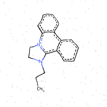 CCCN1CC[n+]2c1c1ccccc1c1ccccc12